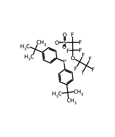 CC(C)(C)c1ccc([I+]c2ccc(C(C)(C)C)cc2)cc1.O=S(=O)([O-])C(F)(F)C(F)(F)OC(F)(F)C(F)(F)I